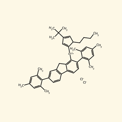 CCCCC1C=C(C(C)(C)C)C=[C]1[Zr+2][c]1c(-c2c(C)cc(C)cc2C)ccc2c1Cc1cc(-c3c(C)cc(C)cc3C)ccc1-2.[Cl-].[Cl-]